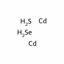 S.[Cd].[Cd].[SeH2]